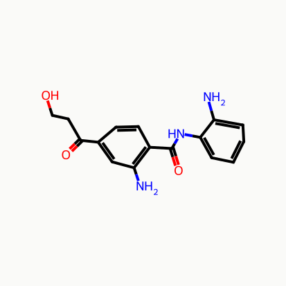 Nc1ccccc1NC(=O)c1ccc(C(=O)CCO)cc1N